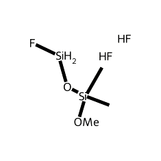 CO[Si](C)(C)O[SiH2]F.F.F